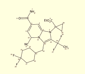 CCOC(=O)C1(N2C3=CC(C(N)=O)=CC(C#N)N3C(CC3CCC(F)(F)CC3)=C2C(C)(F)F)CC1